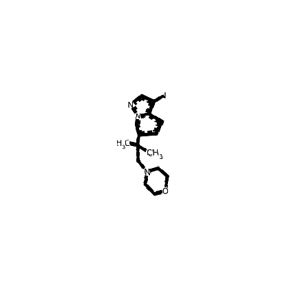 CC(C)(CN1CCOCC1)c1ccc2c(I)cnn2c1